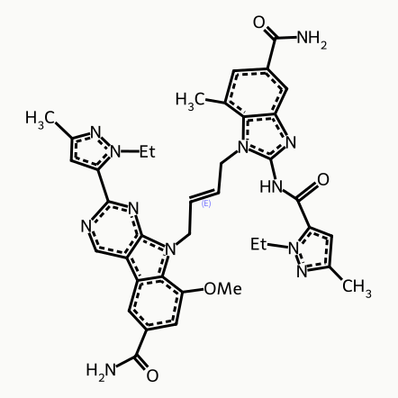 CCn1nc(C)cc1C(=O)Nc1nc2cc(C(N)=O)cc(C)c2n1C/C=C/Cn1c2nc(-c3cc(C)nn3CC)ncc2c2cc(C(N)=O)cc(OC)c21